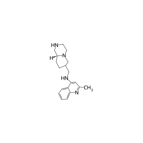 Cc1cc(NCC2CC[C@@H]3CNCCN3C2)c2ccccc2n1